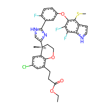 CCOC(=O)CCc1cc(Cl)cc2c1OCC[C@@]2(C)c1c[nH]c(-c2cc(Oc3c(F)c(F)c4[nH]ccc4c3SC)ccc2F)n1